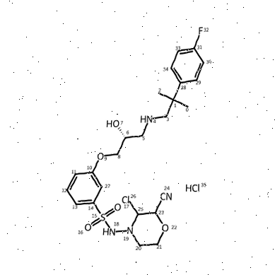 CC(C)(CNC[C@@H](O)COc1cccc(S(=O)(=O)NN2CCOC(C#N)C2Cl)c1)c1ccc(F)cc1.Cl